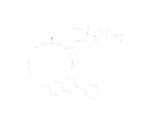 C=CC1CC1(NC(=O)[C@@H]1C[C@@H]2CN1C(=O)[C@H](CCCC)NC(=O)CCCCCCc1ccc3nc(-c4ccccc4)cc(c3c1)O2)C(=O)NS(=O)(=O)C1CC1